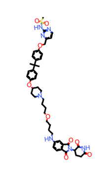 CC(C)(c1ccc(OCc2ccnc(NS(C)(=O)=O)n2)cc1)c1ccc(OC2CCN(CCCCOCCCCNc3ccc4c(c3)C(=O)N(C3CCC(=O)NC3=O)C4=O)CC2)cc1